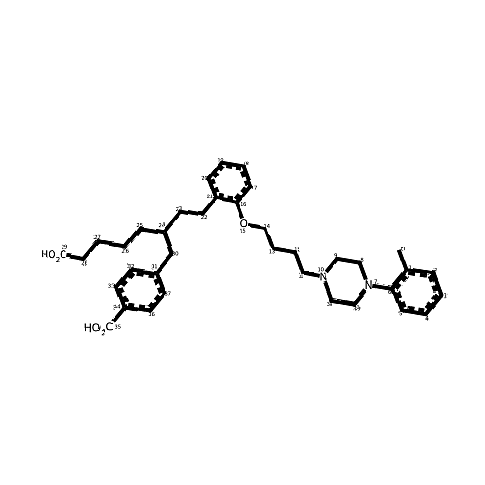 Cc1ccccc1N1CCN(CCCCOc2ccccc2CCC(CCCCC(=O)O)Cc2ccc(C(=O)O)cc2)CC1